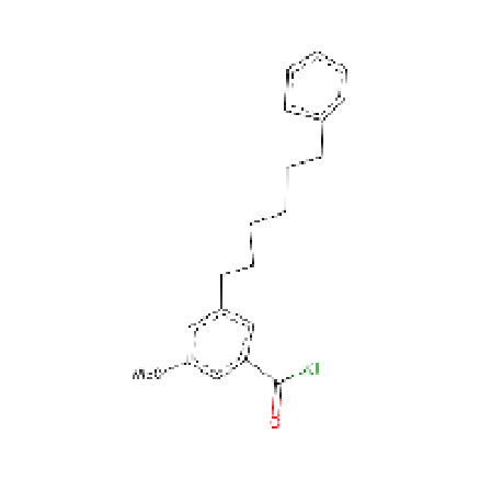 COc1cc(CCCCCCc2ccccc2)cc(C(=O)Cl)c1